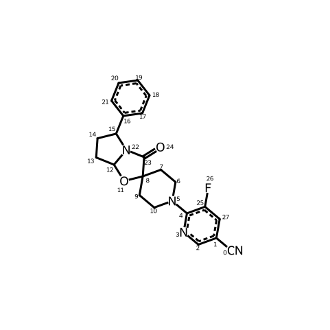 N#Cc1cnc(N2CCC3(CC2)OC2CCC(c4ccccc4)N2C3=O)c(F)c1